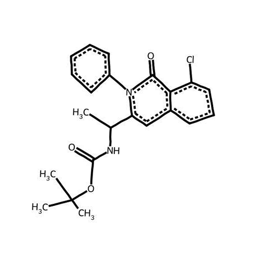 CC(NC(=O)OC(C)(C)C)c1cc2cccc(Cl)c2c(=O)n1-c1ccccc1